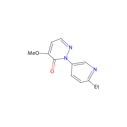 CCc1ccc(-n2nccc(OC)c2=O)cn1